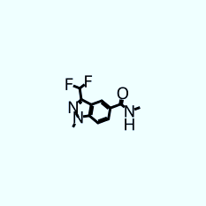 CNC(=O)c1ccc2c(c1)c(C(F)F)nn2C